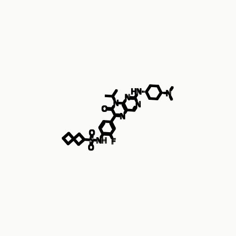 CC(C)n1c(=O)c(-c2ccc(NS(=O)(=O)C3CC4(CCC4)C3)c(F)c2)nc2cnc(N[C@H]3CC[C@H](N(C)C)CC3)nc21